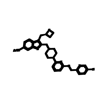 CC(=O)Nc1ccc2c(c1)nc(CN1CCC(c3cccc(OCc4ccc(Cl)cn4)n3)CC1)n2C[C@@H]1CCO1